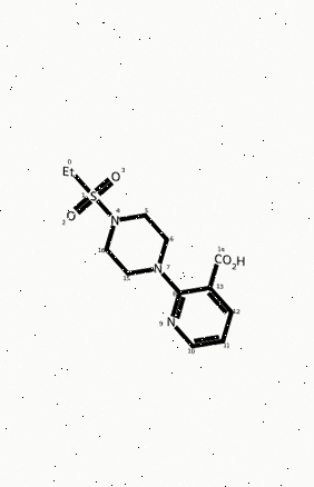 CCS(=O)(=O)N1CCN(c2ncccc2C(=O)O)CC1